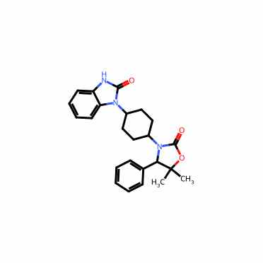 CC1(C)OC(=O)N(C2CCC(n3c(=O)[nH]c4ccccc43)CC2)C1c1ccccc1